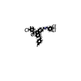 O=C(c1ccnc(Cl)c1)N1CC2(CCN(C/C=C/c3ccc(Cl)c(Cl)c3)CC2)c2cc(Sc3ccc(F)cc3)ccc21